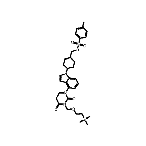 Cc1ccc(S(=O)(=O)OCC2CCC(n3ccc4c(N5CCC(=O)N(COCC[Si](C)(C)C)C5=O)cccc43)CC2)cc1